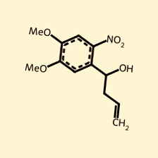 C=CCC(O)c1cc(OC)c(OC)cc1[N+](=O)[O-]